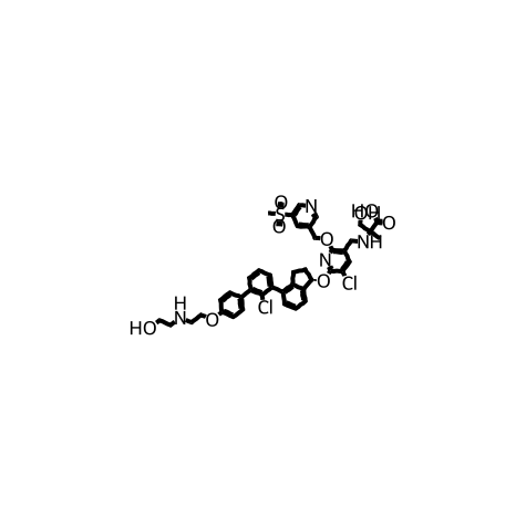 CC(CO)(NCc1cc(Cl)c(O[C@H]2CCc3c(-c4cccc(-c5ccc(OCCNCCO)cc5)c4Cl)cccc32)nc1OCc1cncc(S(C)(=O)=O)c1)C(=O)O